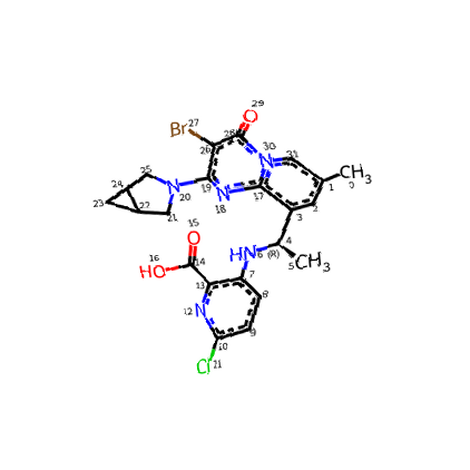 Cc1cc([C@@H](C)Nc2ccc(Cl)nc2C(=O)O)c2nc(N3CC4CC4C3)c(Br)c(=O)n2c1